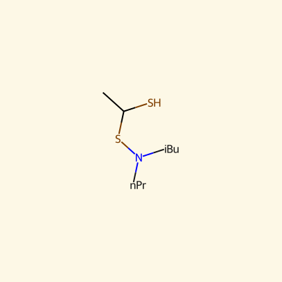 CCCN(SC(C)S)C(C)CC